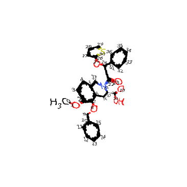 COc1ccc2c(c1OCc1ccccc1)C[C@@H](C(=O)O)N(C(=O)C(Oc1cccs1)c1ccccc1)C2